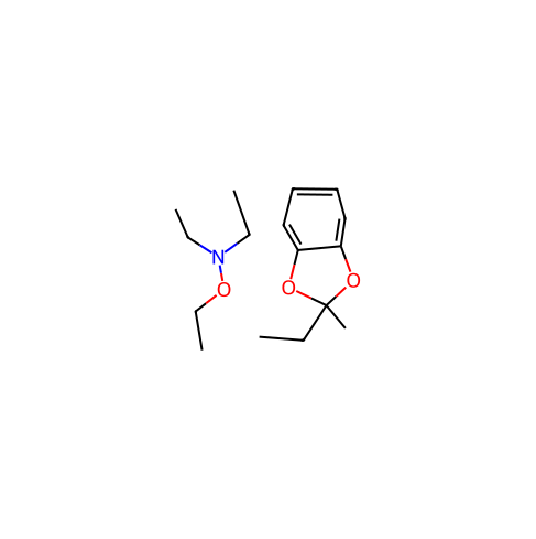 CCC1(C)Oc2ccccc2O1.CCON(CC)CC